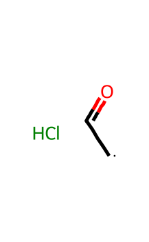 Cl.[CH2]C=O